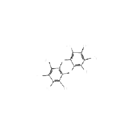 CCCc1c(Cl)c2c(c(CCC)c1CCC)Oc1c(CCC)c(O)c(O)c(CCC)c1O2